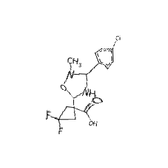 CN1OC(C2(C(=O)O)CC(F)(F)C2)NC1c1ccc(Cl)cc1